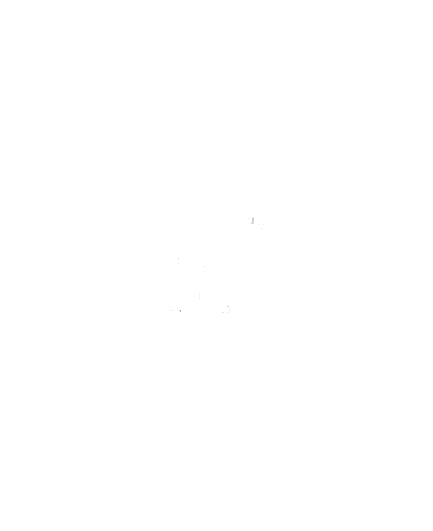 N=C(Cl)C(Cl)CCN